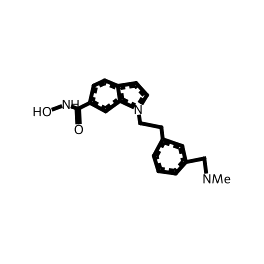 CNCc1cccc(CCn2ccc3ccc(C(=O)NO)cc32)c1